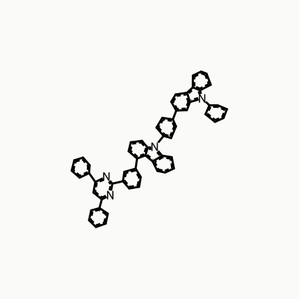 c1ccc(-c2cc(-c3ccccc3)nc(-c3cccc(-c4cccc5c4c4ccccc4n5-c4ccc(-c5ccc6c7ccccc7n(-c7ccccc7)c6c5)cc4)c3)n2)cc1